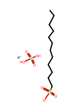 CCCCCCCCCCCCS(=O)(=O)[O-].O=S(=O)(O)O.[K+]